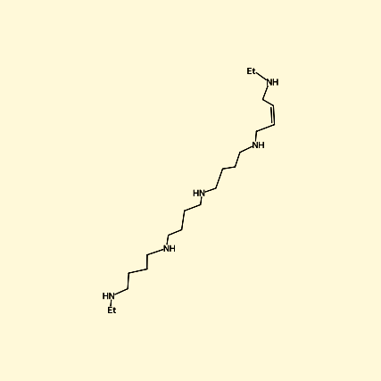 CCNC/C=C\CNCCCCNCCCCNCCCCNCC